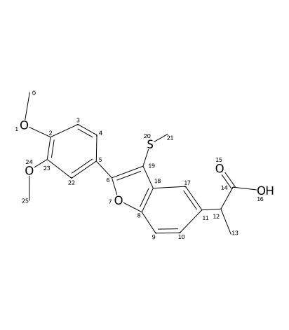 COc1ccc(-c2oc3ccc(C(C)C(=O)O)cc3c2SC)cc1OC